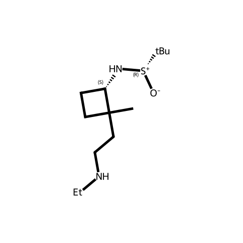 CCNCCC1(C)CC[C@@H]1N[S@@+]([O-])C(C)(C)C